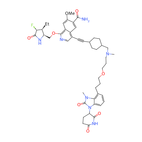 CC[C@@H]1[C@H](F)C(=O)N[C@@H]1COc1ncc(C#CC2CCC(CN(C)CCCOCCCc3cccc4c3n(C)c(=O)n4C3CCC(=O)NC3=O)CC2)c2cc(C(N)=O)c(OC)cc12